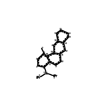 Cc1ccc(N(C(C)C)C(C)C)c2ccc3cc4ccccc4cc3c12